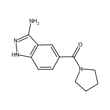 Nc1n[nH]c2ccc(C(=O)N3CCCC3)cc12